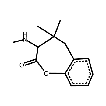 CNC1C(=O)Oc2ccccc2CC1(C)C